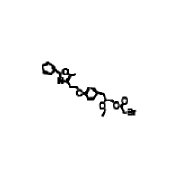 CCO[C@H](COC(=O)CBr)Cc1ccc(OCCc2nc(-c3ccccc3)oc2C)cc1